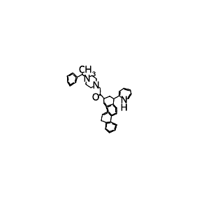 CC(c1ccccc1)N1CCN(CC(=O)C2C=c3c(ccc4c3=CCc3ccccc3-4)C(C3=CC=CC=CN3)C2)CC1